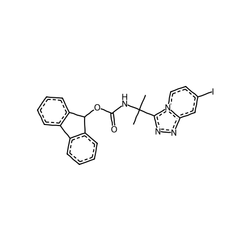 CC(C)(NC(=O)OC1c2ccccc2-c2ccccc21)c1nnc2cc(I)ccn12